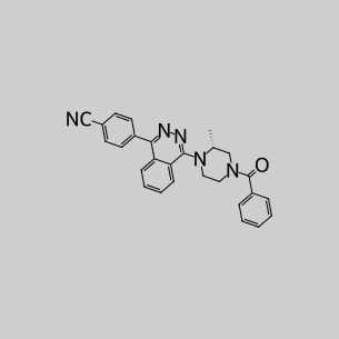 C[C@@H]1CN(C(=O)c2ccccc2)CCN1c1nnc(-c2ccc(C#N)cc2)c2ccccc12